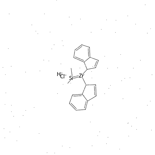 C[Si](C)=[Zr]([CH]1C=Cc2ccccc21)[CH]1C=Cc2ccccc21.[Cl-].[H-]